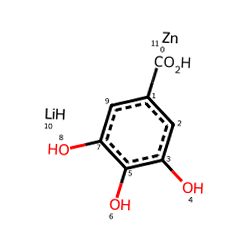 O=C(O)c1cc(O)c(O)c(O)c1.[LiH].[Zn]